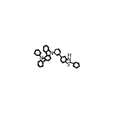 C1=CC(c2ccc3c(c2)NC(c2ccccc2)S3)=CC(n2c3ccccc3c3c4c(ccc32)c2ccccc2n4-c2ccccc2)C1